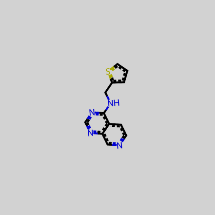 c1csc(CNc2ncnc3cnccc23)c1